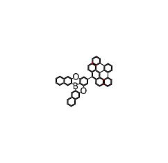 c1ccc(-c2cccc(-c3ccccc3)c2-c2c3ccccc3c(-c3cc4c5c(c3)Oc3cc6ccccc6cc3B5c3cc5ccccc5cc3O4)c3ccccc23)cc1